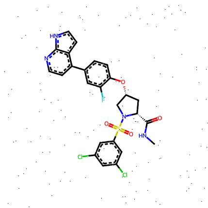 CNC(=O)[C@H]1C[C@@H](Oc2ccc(-c3ccnc4[nH]ccc34)cc2F)CN1S(=O)(=O)c1cc(Cl)cc(Cl)c1